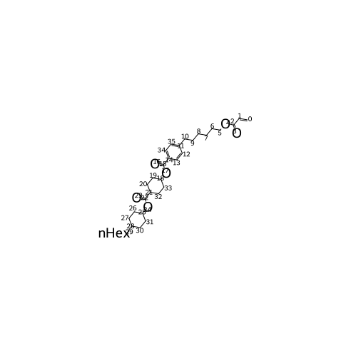 C=CC(=O)OCCCCCCc1ccc(C(=O)OC2CCC(C(=O)OC3CCC(CCCCCC)CC3)CC2)cc1